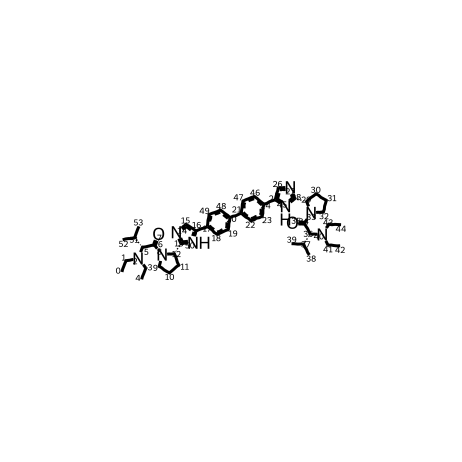 CCN(CC)[C@@H](C(=O)N1CCC[C@H]1c1ncc(-c2ccc(-c3ccc(-c4cnc([C@@H]5CCCN5C(=O)[C@@H](C(C)C)N(CC)CC)[nH]4)cc3)cc2)[nH]1)C(C)C